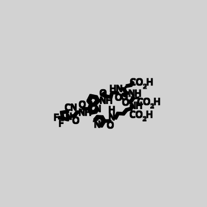 N#C[C@@H]1CC(F)(F)CN1C(=O)CNC(=O)c1ccnc2c(NC(=O)CCC(=O)N[C@@H](CCC(=O)O)C(=O)N[C@@H](CC(=O)O)C(=O)N[C@@H](CCCCNC(=O)c3cccnc3)C(=O)O)cccc12